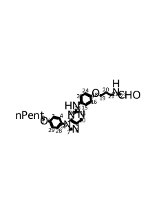 CCCCCOc1ccc(-n2cnc3cnc(Nc4ccc(OCCCNC=O)cc4)nc32)cc1